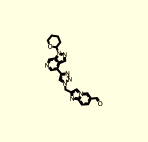 O=Cc1ccc2nc(Cn3cc(-c4cncc5c4cnn5C4CCCCO4)nn3)cn2c1